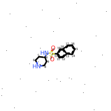 O=S(=O)(NC1CCNCC1)c1ccc2ccccc2c1